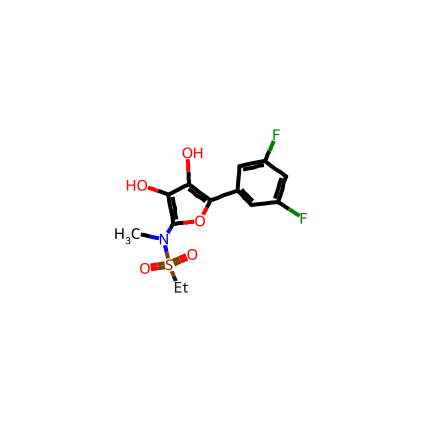 CCS(=O)(=O)N(C)c1oc(-c2cc(F)cc(F)c2)c(O)c1O